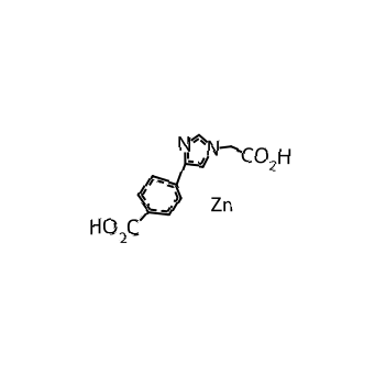 O=C(O)Cn1cnc(-c2ccc(C(=O)O)cc2)c1.[Zn]